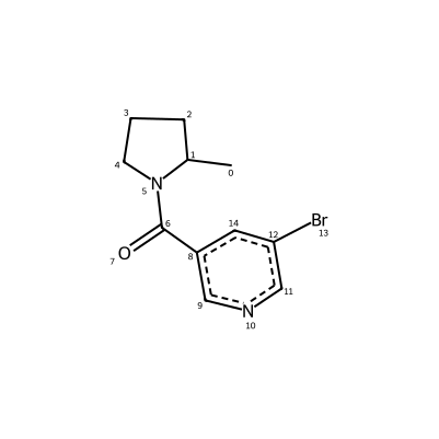 CC1CCCN1C(=O)c1cncc(Br)c1